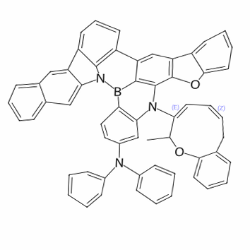 CC1Oc2ccccc2C/C=C\C=C/1N1c2cc(N(c3ccccc3)c3ccccc3)ccc2B2c3c(cc4c(oc5ccccc54)c31)-c1cccc3c4cc5ccccc5cc4n2c13